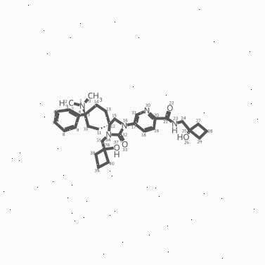 CN(C)[C@]1(c2ccccc2)CC[C@]2(CC1)CN(c1ccc(C(=O)NCC3(O)CCC3)nc1)C(=O)N2CC1(O)CCC1